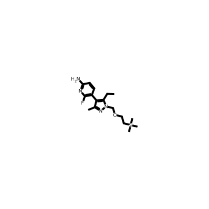 CCc1c(-c2ccc(N)nc2F)c(C)nn1COCC[Si](C)(C)C